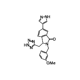 COc1cccc(CN2C(=O)c3cc(-c4cn[nH]c4)ccc3C2Cc2nn[nH]n2)c1